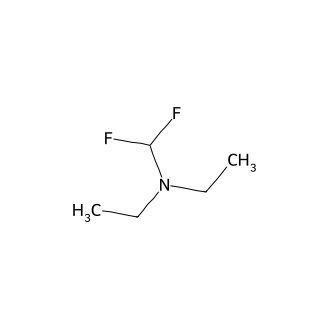 CCN(CC)C(F)F